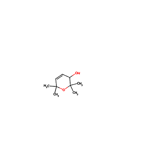 CC1(C)C=CC(O)C(C)(C)O1